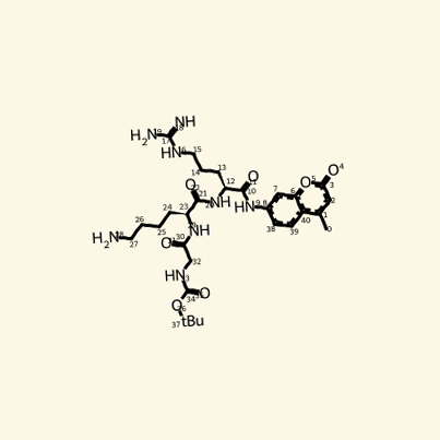 Cc1cc(=O)oc2cc(NC(=O)[C@H](CCCNC(=N)N)NC(=O)[C@H](CCCCN)NC(=O)CNC(=O)OC(C)(C)C)ccc12